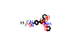 Cc1nc(-c2ccc(-c3ccc([C@@]4(CC(=O)NOC5CCCCO5)CCCCS4(=O)=O)s3)cc2)no1